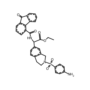 CCOC(=O)C(NC(=O)c1cccc2c1-c1ccccc1C2=O)c1ccc2c(c1)CN(S(=O)(=O)c1ccc(N)cc1)CC2